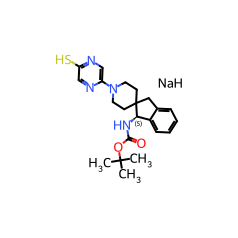 CC(C)(C)OC(=O)N[C@@H]1c2ccccc2CC12CCN(c1cnc(S)cn1)CC2.[NaH]